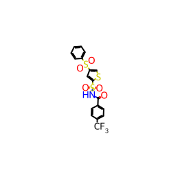 O=C(NS(=O)(=O)c1cc(S(=O)(=O)c2ccccc2)cs1)c1ccc(C(F)(F)F)cc1